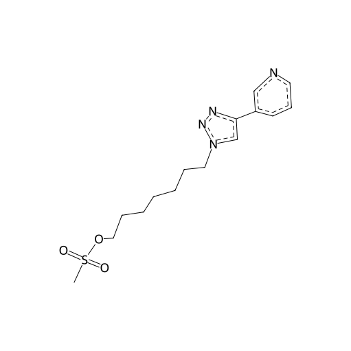 CS(=O)(=O)OCCCCCCCn1cc(-c2cccnc2)nn1